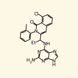 CCC(Nc1nc(N)nc2[nH]cnc12)c1cc2cccc(Cl)c2c(=O)n1-c1ccccc1C